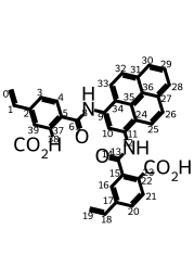 C=Cc1ccc(C(=O)Nc2cc(NC(=O)c3cc(C=C)ccc3C(=O)O)c3ccc4cccc5ccc2c3c54)c(C(=O)O)c1